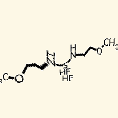 COCCNSNCCOC.F.F